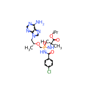 CC(C)OC(=O)C(C)(C)N[P@](=O)(CO[C@H](C)Cn1cnc2c(N)ncnc21)NC(=O)c1ccc(Cl)cc1